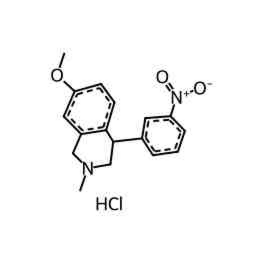 COc1ccc2c(c1)CN(C)CC2c1cccc([N+](=O)[O-])c1.Cl